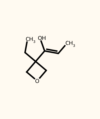 CC=C(O)C1(CC)COC1